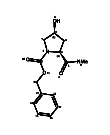 CNC(=O)[C@@H]1C[C@H](O)CN1C(=O)OCc1ccccc1